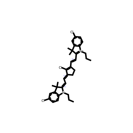 CCCN1/C(=C/C=C2\CCC(/C=C/C3=[N+](CCC)c4ccc(Cl)cc4C3(C)C)=C2Cl)C(C)(C)c2cc(Cl)ccc21